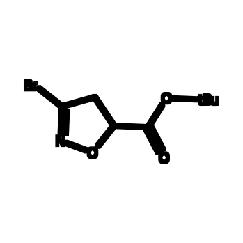 CC(C)(C)OC(=O)C1CC(Br)=NO1